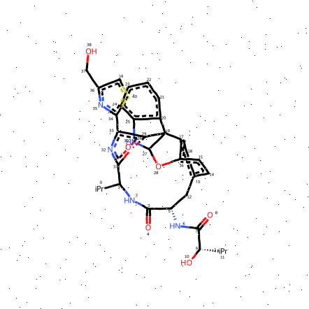 CC(C)C1NC(=O)[C@@H](NC(=O)[C@@H](O)C(C)C)Cc2ccc3c(c2)C2(c4ccccc4NC2O3)c2oc1nc2-c1nc(CO)cs1